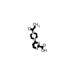 CCC(=O)N1CCN(c2ccnc(C(=O)O)n2)CC1